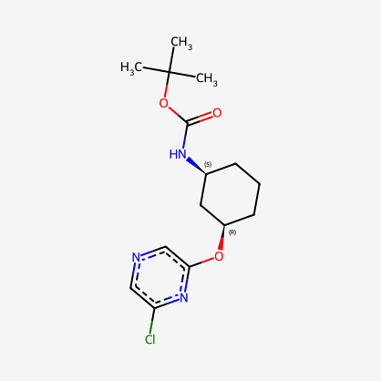 CC(C)(C)OC(=O)N[C@H]1CCC[C@@H](Oc2cncc(Cl)n2)C1